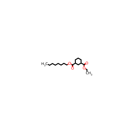 CCCCCCCCOC(=O)C1CCCC(C(=O)OCC)C1